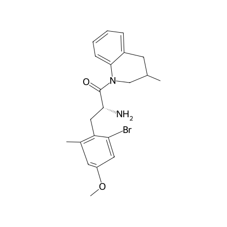 COc1cc(C)c(C[C@@H](N)C(=O)N2CC(C)Cc3ccccc32)c(Br)c1